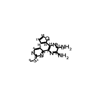 CSc1nccc(-c2nc(N)c(N)nc2-c2ccco2)n1